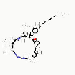 COCCOCCOCCNC(=O)O[C@@H]1CC[C@@H](C[C@@H](N)[C@@H]2C[C@@H](O)[C@H](C)/C=C(\C)[C@@H](O)[C@@H](OC)C(=O)[C@H](C)C[C@H](C)/C=C/C=C/C=C(\C)[C@@H](OC)C[C@@H]3CC[C@@H](C)[C@@](O)(O3)C(=O)C(=O)N3CCCC[C@H]3C(=O)O2)C[C@H]1OC